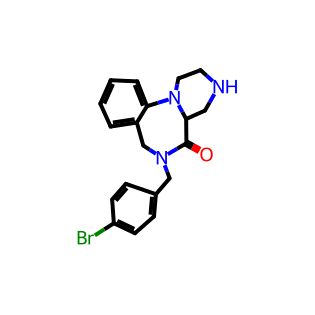 O=C1C2CNCCN2c2ccccc2CN1Cc1ccc(Br)cc1